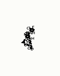 COC(=O)CN(CC=CC(=O)Nc1cc2c(Nc3ccc(F)c(Cl)c3)ncnc2cc1OCC1CC1)CC(=O)OC